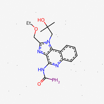 CCOCc1nc2c(NC(=O)P)nc3ccccc3c2n1CC(C)(C)O